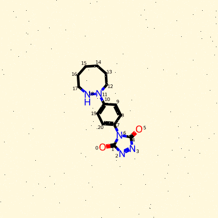 O=C1N=NC(=O)N1c1ccc(N2CCCCCCN2)cc1